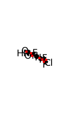 O=C1CCC(c2ccc(N3CCN(C4CCN(c5cc(F)c(Cl)cc5F)CC4)CC3)c(F)c2)C(=O)N1